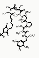 CCC1=CC(C)C=C(C[C@H](NC(=O)[C@H](C)[C@@H](OC)[C@@H]2CCCN2C(=O)C[C@@H](OC)[C@H]([C@@H](C)CC)N(C)C(=O)[C@@H](NC(=O)[C@H](C(C)C)N(C)C(=O)CCCCCN2C(=O)CC(C(C)(S)CC)C2=O)C(C)C)C(=O)O)C1C